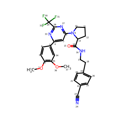 COc1ccc(-c2cc(N3CCCC3C(=O)NCCc3ccc(C#N)cc3)nc(C(F)(F)F)n2)cc1OC